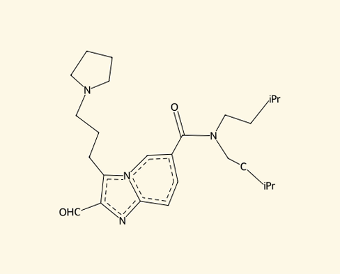 CC(C)CCN(CCC(C)C)C(=O)c1ccc2nc(C=O)c(CCCN3CCCC3)n2c1